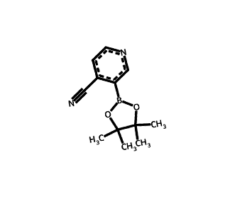 CC1(C)OB(c2cnccc2C#N)OC1(C)C